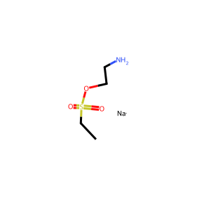 CCS(=O)(=O)OCCN.[Na]